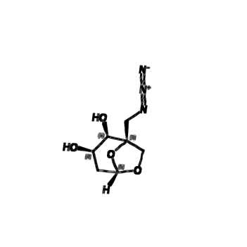 [N-]=[N+]=NC[C@]12CO[C@H](C[C@@H](O)[C@H]1O)O2